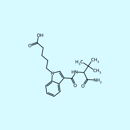 CC(C)(C)C(NC(=O)c1cn(CCCCC(=O)O)c2ccccc12)C(N)=O